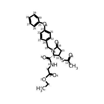 CCOC(=O)CNC(=O)[C@H]1[C@H](SC(C)=O)CC(=O)N1Cc1ccc(Oc2ccccc2)cc1